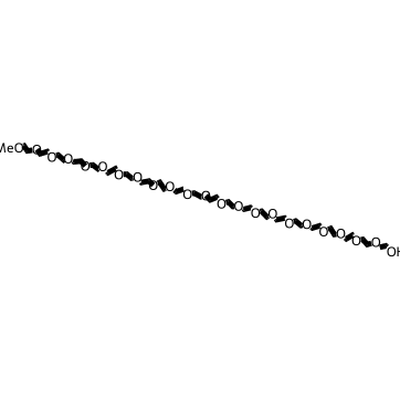 COCCOCCOCCOCCOCCOCCOCCOCCOCCOCCOCCOCCOCCOCCOCCOCCOCCOCCOCCOCCOCCOCCO